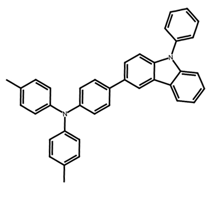 Cc1ccc(N(c2ccc(C)cc2)c2ccc(-c3ccc4c(c3)c3ccccc3n4-c3ccccc3)cc2)cc1